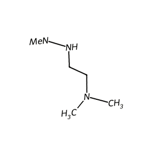 CNNCCN(C)C